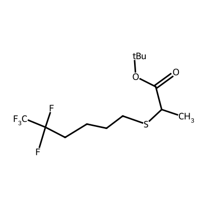 CC(SCCCCC(F)(F)C(F)(F)F)C(=O)OC(C)(C)C